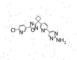 Nc1ncc(-c2ccc(C3(c4noc(-c5ccc(Cl)nc5)n4)CCC3)cn2)cn1